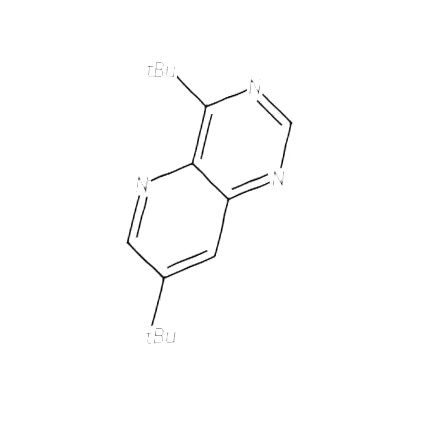 CC(C)(C)c1cnc2c(C(C)(C)C)ncnc2c1